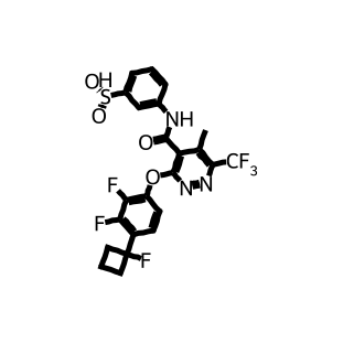 Cc1c(C(F)(F)F)nnc(Oc2ccc(C3(F)CCC3)c(F)c2F)c1C(=O)Nc1cccc([SH](=O)=O)c1